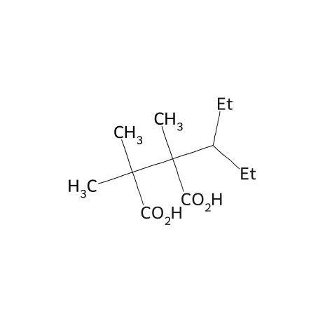 CCC(CC)C(C)(C(=O)O)C(C)(C)C(=O)O